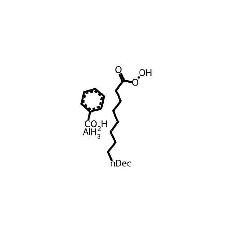 CCCCCCCCCCCCCCCCCC(=O)OO.O=C(O)c1ccccc1.[AlH3]